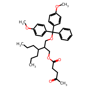 CCCC(CCC)C(COC(=O)CCC(C)=O)COC(c1ccccc1)(c1ccc(OC)cc1)c1ccc(OC)cc1